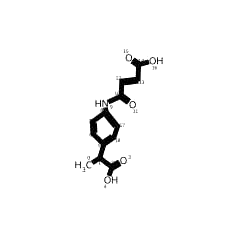 CC(C(=O)O)c1ccc(NC(=O)/C=C/C(=O)O)cc1